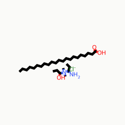 CCC(N)[N+](C)(C)C(O)CC.CCCCCCCCCCCCCCCCCCCCCC(=O)O.[Cl-]